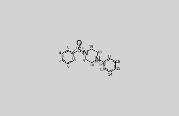 [O-][S+](c1ccccc1)N1CCN(c2ccccc2)CC1